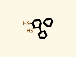 Sc1cccc(-c2ccccc2)c1S.c1ccccc1